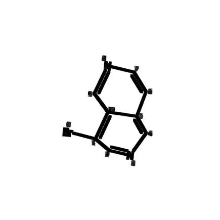 Brc1cncc2ccncc12